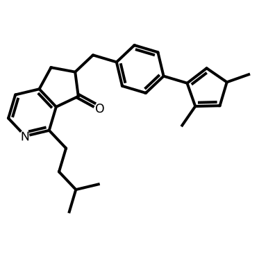 CC1=CC(C)C=C1c1ccc(CC2Cc3ccnc(CCC(C)C)c3C2=O)cc1